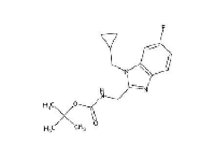 CC(C)(C)OC(=O)NCc1nc2ccc(F)cc2n1CC1CC1